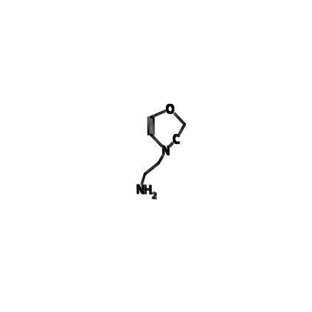 NCCN1C#COCC1